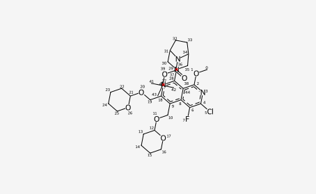 COc1nc(Cl)c(F)c2c(COC3CCCCO3)c(COC3CCCCO3)nc(N3CC4CCC(C3)N4C(=O)OC(C)(C)C)c12